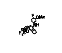 COc1cc(Nc2cnc(OS(=O)(=O)C(F)(F)F)c3c2C2CCC3C2)ccc1F